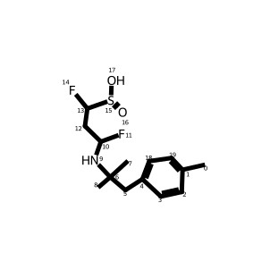 Cc1ccc(CC(C)(C)NC(F)CC(F)S(=O)O)cc1